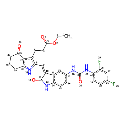 CCOC(=O)CCc1c(/C=C2\C(=O)Nc3ccc(NC(=O)Nc4ccc(F)cc4F)cc32)[nH]c2c1C(=O)CCC2